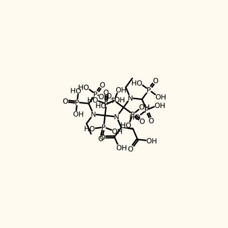 CCN(C(P(=O)(O)O)P(=O)(O)O)C(N([C@@H](CC(=O)O)C(=O)O)C(N(CC)C(P(=O)(O)O)P(=O)(O)O)(P(=O)(O)O)P(=O)(O)O)(P(=O)(O)O)P(=O)(O)O